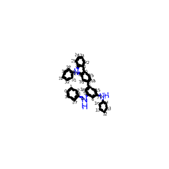 c1ccc(Nc2cc(Nc3ccccc3)cc(-c3ccc4c5ccccc5n(-c5ccccc5)c4c3)c2)cc1